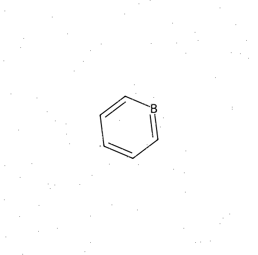 b1cc[c]cc1